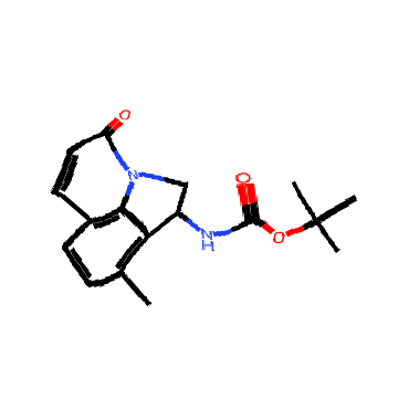 Cc1ccc2ccc(=O)n3c2c1C(NC(=O)OC(C)(C)C)C3